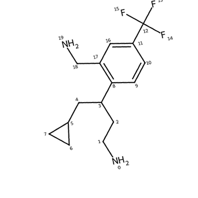 NCCC(CC1CC1)c1ccc(C(F)(F)F)cc1CN